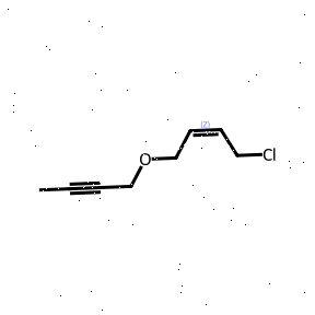 CC#CCOC/C=C\CCl